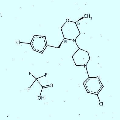 C[C@H]1CN(C2CCN(c3ccc(Cl)cn3)CC2)[C@@H](Cc2ccc(Cl)cc2)CO1.O=C(O)C(F)(F)F